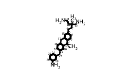 C=C1c2ccc(CCC(C)(/C=C/N)CN)cc2Cc2ccc(Cc3cccc(N)c3)cc21